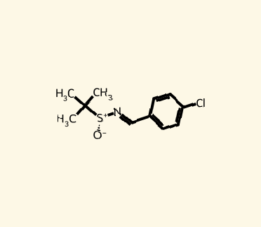 CC(C)(C)[S@@+]([O-])N=Cc1ccc(Cl)cc1